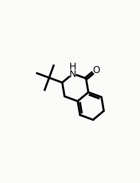 CC(C)(C)C1CC2=CCCC=C2C(=O)N1